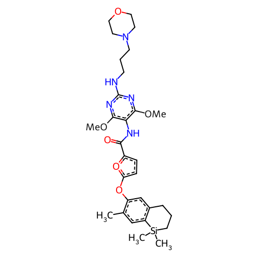 COc1nc(NCCCN2CCOCC2)nc(OC)c1NC(=O)c1ccc(Oc2cc3c(cc2C)[Si](C)(C)CCC3)o1